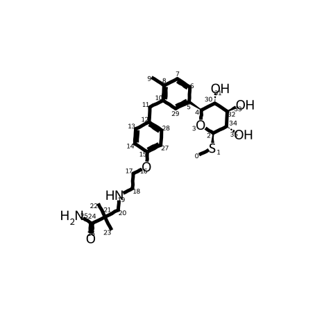 CS[C@H]1O[C@@H](c2ccc(C)c(Cc3ccc(OCCNCC(C)(C)C(N)=O)cc3)c2)[C@H](O)[C@@H](O)[C@@H]1O